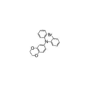 Brc1ccccc1N(c1ccccc1)c1ccc2c(c1)OCCO2